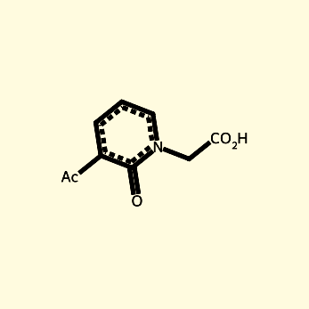 CC(=O)c1cccn(CC(=O)O)c1=O